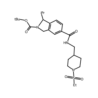 CCS(=O)(=O)N1CCC(CNC(=O)c2ccc3c(c2)CN(C(=O)OC(C)(C)C)C3C(C)C)CC1